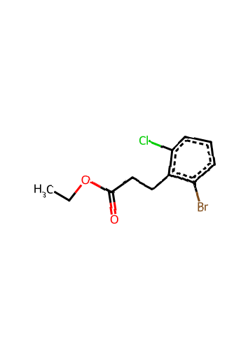 CCOC(=O)CCc1c(Cl)cccc1Br